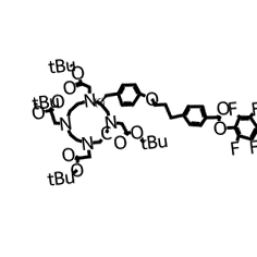 CC(C)(C)OC(=O)CN1CCN(CC(=O)OC(C)(C)C)CCN(CC(=O)OC(C)(C)C)[C@@H](Cc2ccc(OCCCc3ccc(C(=O)Oc4c(F)c(F)cc(F)c4F)cc3)cc2)CN(CC(=O)OC(C)(C)C)CC1